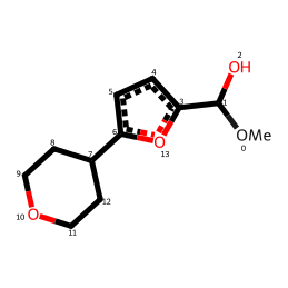 COC(O)c1ccc(C2CCOCC2)o1